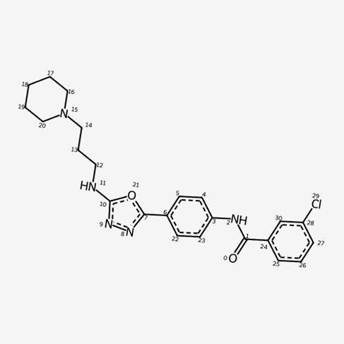 O=C(Nc1ccc(-c2nnc(NCCCN3CCCCC3)o2)cc1)c1cccc(Cl)c1